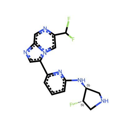 FC(F)c1cn2c(-c3cccc(N[C@H]4CNC[C@@H]4F)n3)cnc2cn1